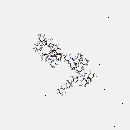 c1ccc(-c2ccc(-c3ccc(N(c4ccc5c(c4)-c4ccccc4C54c5ccccc5-n5c6ccc(-c7ccc8c(N(c9ccccc9-c9ccccc9)c9cccc%10c9-c9ccccc9Cc9ccccc9-n9c%11ccccc%11c%11cccc(c%119)C%10)cc9ccccc9c8c7)cc6c6cccc4c65)c4cc5ccccc5c5ccccc45)cc3)cc2)cc1